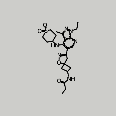 CCC(=O)NC1CC2(CC(c3cnc4c(c(C)nn4CC)c3NC3CCS(=O)(=O)CC3)=NO2)C1